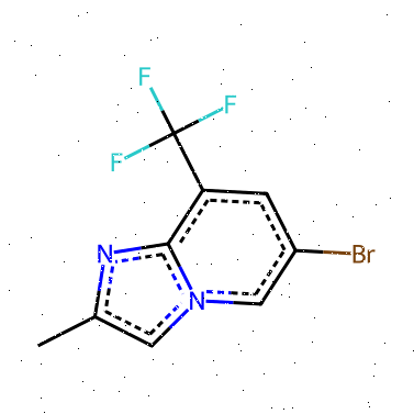 Cc1cn2cc(Br)cc(C(F)(F)F)c2n1